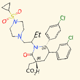 CCC(CN1CCN(S(=O)(=O)C2CC2)CC1)N1C(=O)[C@@](C)(CC(=O)O)CC(c2cccc(Cl)c2)[C@H]1c1ccc(Cl)cc1